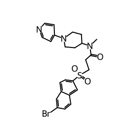 CN(C(=O)CCS(=O)(=O)c1ccc2cc(Br)ccc2c1)C1CCN(c2ccncc2)CC1